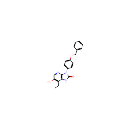 CCc1c(O)cnc2c1[nH]c(=O)n2-c1ccc(OCc2ccccc2)cc1